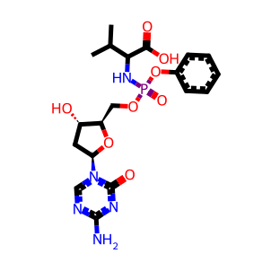 CC(C)C(NP(=O)(OC[C@H]1O[C@@H](n2cnc(N)nc2=O)C[C@@H]1O)Oc1ccccc1)C(=O)O